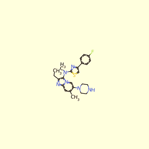 CCc1nc2cc(C)c(N3CCNCC3)cn2c1N(C)c1nc(-c2ccc(F)cc2)cs1